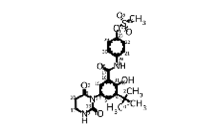 CC(C)(C)c1cc(N2C(=O)CCNC2=O)cc(C(=O)Nc2ccc(OS(C)(=O)=O)cc2)c1O